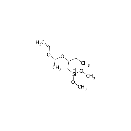 C=COC(C)OC(CC)C[SiH](OC)OC